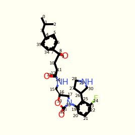 CC(C)Cc1ccc(C(=O)CCC(=O)NC[C@H]2CN(c3cccc(F)c3C3CCNC3)C(=O)O2)cc1